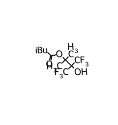 CCC(C)C(=O)OC(C)(C)C(O)(C(F)(F)F)C(F)(F)F